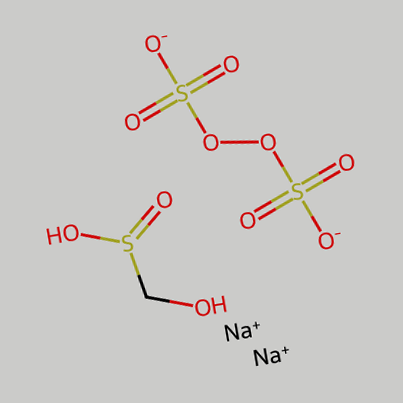 O=S(=O)([O-])OOS(=O)(=O)[O-].O=S(O)CO.[Na+].[Na+]